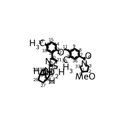 CO[C@@H]1CCN(C(=O)c2ccc(COc3ccc(C)cc3-c3csc(N4C[C@H]5CC[C@@H](C4)[C@H]5C(=O)O)n3)c(C)c2)C1